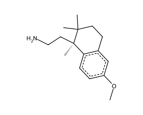 COc1ccc2c(c1)CCC(C)(C)[C@]2(C)CCN